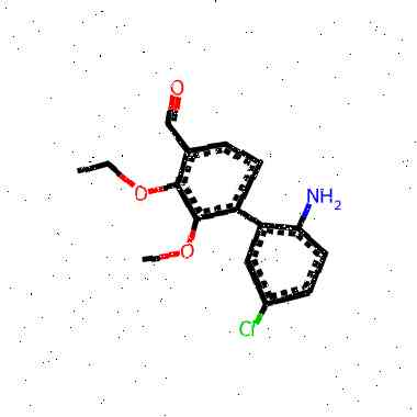 CCOc1c(C=O)ccc(-c2cc(Cl)ccc2N)c1OC